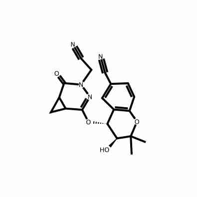 CC1(C)Oc2ccc(C#N)cc2[C@@H](OC2=NN(CC#N)C(=O)C3CC23)[C@@H]1O